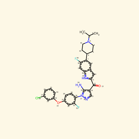 CC(C)N1CCC(c2cc3cc(C(=O)c4cnn(-c5ccc(Oc6cccc(Cl)c6)cc5F)c4N)[nH]c3cc2F)CC1